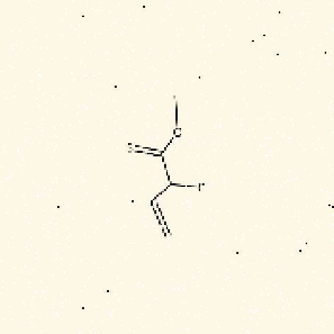 C=CC(Cl)C(=S)OC